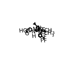 CC(C)(C)OC(=O)N(c1cccc(C(F)C(F)F)c1)c1cc(NC2CCCN(C(=O)O)C2)nc2c(C3CC3)cnn12